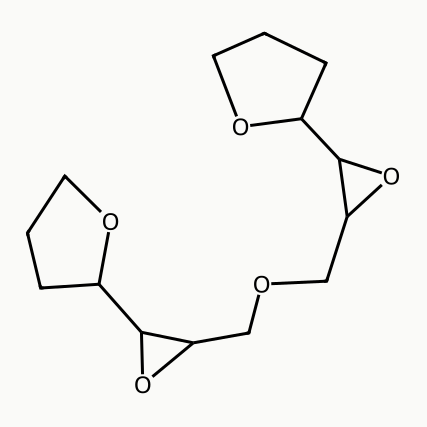 C1COC(C2OC2COCC2OC2C2CCCO2)C1